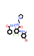 Cc1cc(Br)ccc1Nc1c(C(=O)NCCN2CCCC2)ccc(F)c1F.NC(=O)c1ccccc1